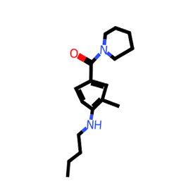 CCCCNc1ccc(C(=O)N2CCCCC2)cc1C